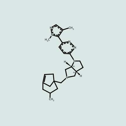 Cc1cnn(C)c1-c1ccc(N2CC[C@@H]3CN(CC45CC=C(CC(C)C4)C5)C[C@@H]32)nn1